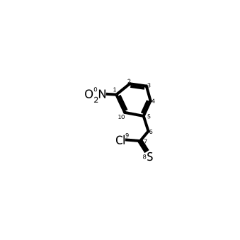 O=[N+]([O-])c1cccc(CC(=S)Cl)c1